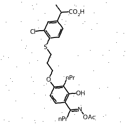 CCCC(=NOC(C)=O)c1ccc(OCCCSc2ccc(C(C)C(=O)O)cc2Cl)c(CCC)c1O